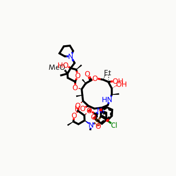 CC[C@H]1OC(=O)[C@H](C)[C@@H](OC2CC(C)(OC)C(O)(CN3CCCCC3)[C@@H](C)O2)[C@H](C)[C@@H](O[C@@H]2O[C@H](C)C[C@H](N(C)S(=O)(=O)c3ccccc3)[C@H]2Oc2ccc(Cl)cn2)[C@](C)(O)C[C@@H](C)CN[C@H](C)[C@@H](O)[C@]1(C)O